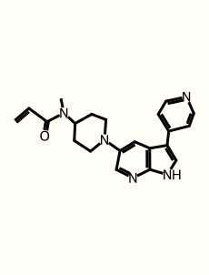 C=CC(=O)N(C)C1CCN(c2cnc3[nH]cc(-c4ccncc4)c3c2)CC1